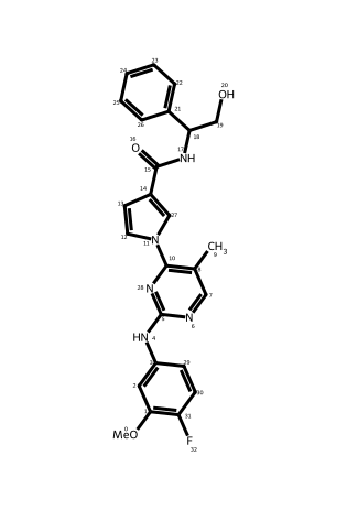 COc1cc(Nc2ncc(C)c(-n3ccc(C(=O)NC(CO)c4ccccc4)c3)n2)ccc1F